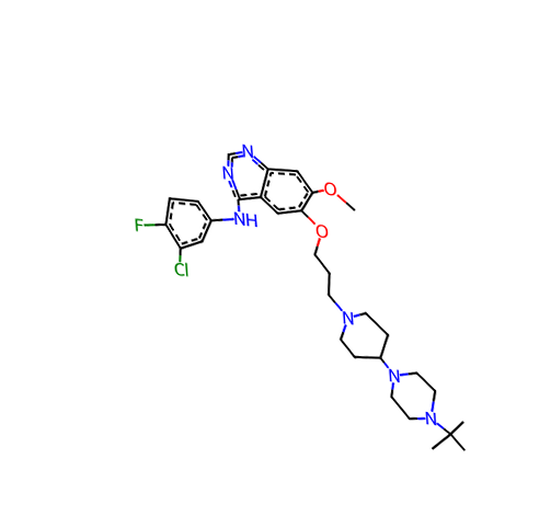 COc1cc2ncnc(Nc3ccc(F)c(Cl)c3)c2cc1OCCCN1CCC(N2CCN(C(C)(C)C)CC2)CC1